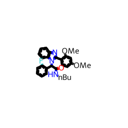 CCCCNC(=O)C(c1ccccc1F)n1c(-c2ccc(OC)cc2OC)nc2ccccc21